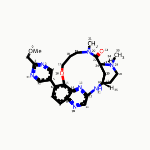 COCc1ncc(-c2ccc3ncc4nc3c2OCCCN(C)C(=O)[C@@H]2C[C@H](CCN2C)N4)cn1